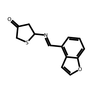 O=C1CSC(N=Cc2cccc3occc23)C1